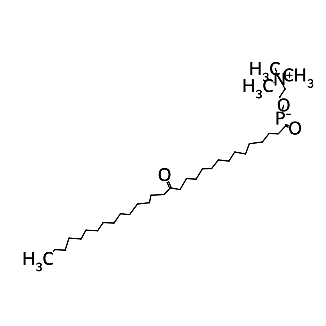 CCCCCCCCCCCCCCCC(=O)CCCCCCCCCCCCCC(=O)[P-]OCC[N+](C)(C)C